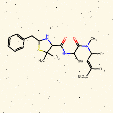 CCOC(=O)/C(C)=C/C(C(C)C)N(C)C(=O)C(NC(=O)C1NC(Cc2ccccc2)SC1(C)C)C(C)(C)C